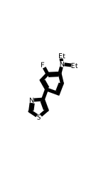 CCN(CC)c1ccc(-c2cs[c]n2)cc1F